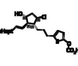 CCCCCCCC=C[C@@H]1[C@@H](CCCc2ccc(OC(=O)O)s2)[C@H](Cl)C[C@H]1O